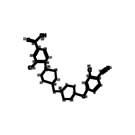 N#Cc1ccc(OC2CCN(CC3CCN(c4ccc(C(=O)O)cc4Cl)CC3)CC2)cc1Cl